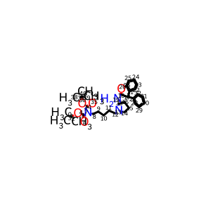 CC(C)(C)OC(=O)N(CCCCCN1CC[C@@H](C(C(N)=O)(c2ccccc2)c2ccccc2)C1)C(=O)OC(C)(C)C